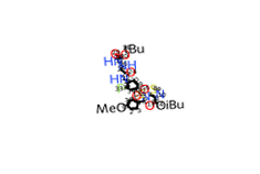 COc1ccc(CN(c2scnc2C(=O)OCC(C)C)S(=O)(=O)c2ccc(NC(=O)CNNC(=O)OC(C)(C)C)c(F)c2)cc1